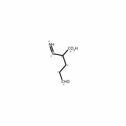 N=NC(CCC=O)C(=O)O